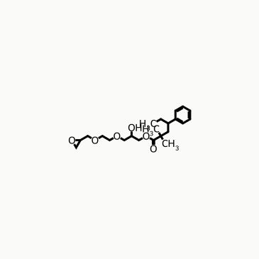 CCC(CC(C)(C)C(=O)OCC(O)COCCOCC1CO1)c1ccccc1